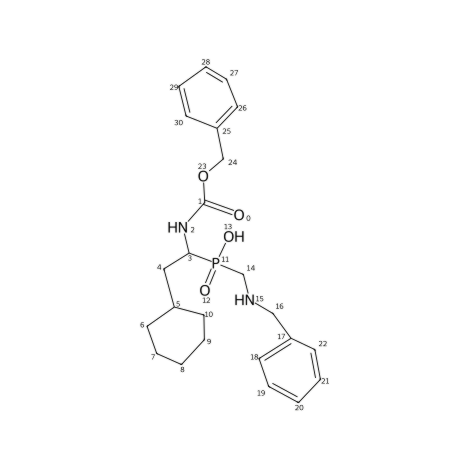 O=C(NC(CC1CCCCC1)P(=O)(O)CNCc1ccccc1)OCc1ccccc1